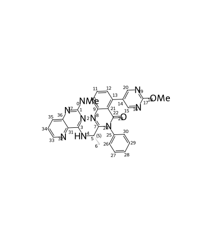 CNc1nc(N[C@@H](C)c2nc3cccc(-c4cnc(OC)nc4)c3c(=O)n2-c2ccccc2)c2ncccc2n1